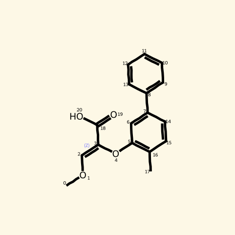 CO/C=C(\Oc1cc(-c2ccccc2)ccc1C)C(=O)O